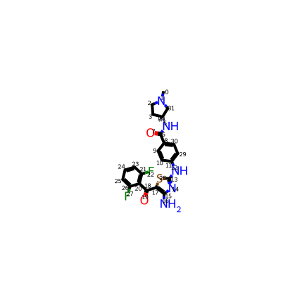 CN1CC[C@@H](NC(=O)c2ccc(Nc3nc(N)c(C(=O)c4c(F)cccc4F)s3)cc2)C1